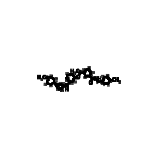 Cc1ccc(CNC(=O)c2cccc(C(C)Oc3ccnc(Nc4cnn(C5CCN(C)CC5)c4)c3)c2)cc1